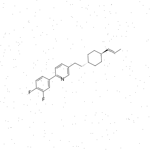 CC=C[C@H]1CC[C@H](CCc2ccc(-c3ccc(F)c(F)c3)nc2)CC1